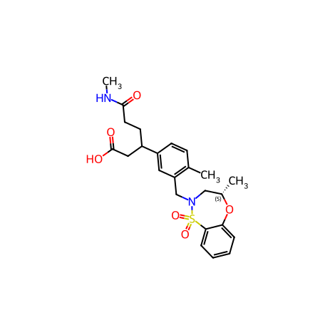 CNC(=O)CCC(CC(=O)O)c1ccc(C)c(CN2C[C@H](C)Oc3ccccc3S2(=O)=O)c1